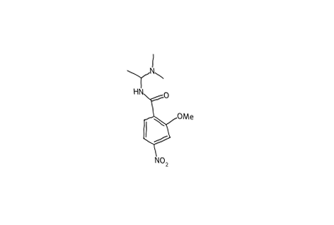 COc1cc([N+](=O)[O-])ccc1C(=O)NC(C)N(C)C